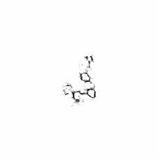 CN1CC(CNc2ccc3c(c2)Sc2cccc(-c4cc(N5CCOCC5)cc(=O)[nH]4)c2S3)C1